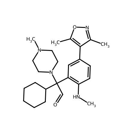 CNc1ccc(-c2c(C)noc2C)cc1C(C=O)(C1CCCCC1)N1CCN(C)CC1